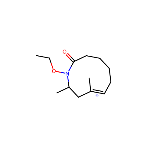 CCON1C(=O)CCCC/C=C(\C)CC1C